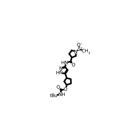 C[S+]([O-])N1CCC(C(=O)Nc2cc(C3CCC(OC(=O)NC(C)(C)C)C3)[nH]n2)C1